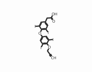 C#CCOc1c(I)cc(Oc2c(I)cc(CC(=O)O)cc2I)cc1I